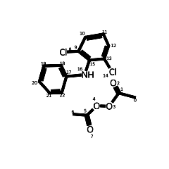 CC(=O)OOC(C)=O.Clc1cccc(Cl)c1Nc1ccccc1